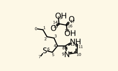 CCCCC(CSC)c1ncc[nH]1.O=C(O)C(=O)O